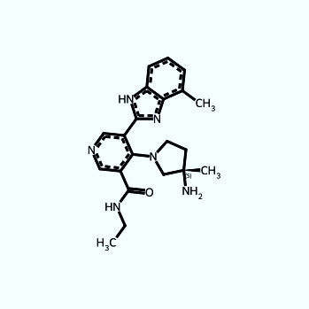 CCNC(=O)c1cncc(-c2nc3c(C)cccc3[nH]2)c1N1CC[C@](C)(N)C1